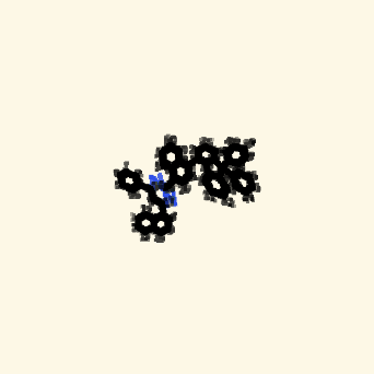 c1ccc(-c2cc(-c3cccc4ccccc34)nc(-c3ccc(-c4cccc5c4-c4ccccc4C5(c4ccccc4)c4ccccc4)c4ccccc34)n2)cc1